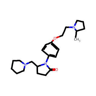 CC1CCCN1CCOc1ccc(N2C(=O)CCC2CN2CCCCC2)cc1